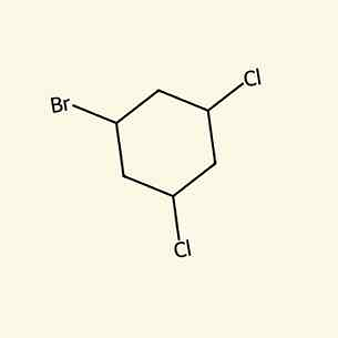 ClC1CC(Cl)CC(Br)C1